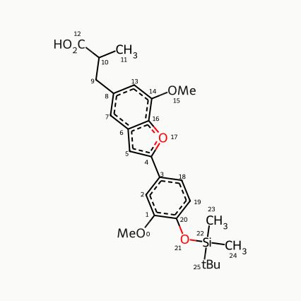 COc1cc(-c2cc3cc(CC(C)C(=O)O)cc(OC)c3o2)ccc1O[Si](C)(C)C(C)(C)C